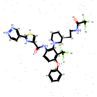 O=C(Nc1ccc(Oc2ccccc2)c(C(F)(F)F)c1N1CCC[C@@H](CCNC(=O)C(F)(F)F)C1)c1csc(-c2ccnnc2)n1